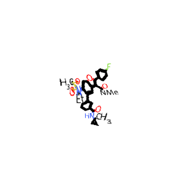 CCN(c1cc2oc(-c3ccc(F)cc3)c(C(=O)NC)c2cc1-c1cccc(C(=O)NC2(C)CC2)c1)S(C)(=O)=O